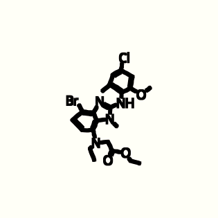 CCOC(=O)CN(CC)c1ccc(Br)c2nc(Nc3c(C)cc(Cl)cc3OC)n(C)c12